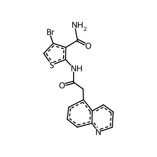 NC(=O)c1c(Br)csc1NC(=O)Cc1cccc2ncccc12